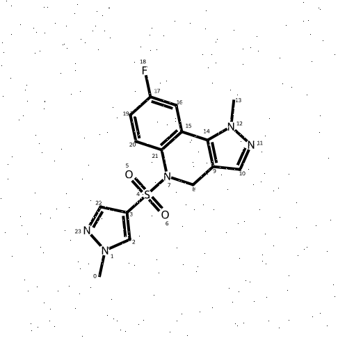 Cn1cc(S(=O)(=O)N2Cc3cnn(C)c3-c3cc(F)ccc32)cn1